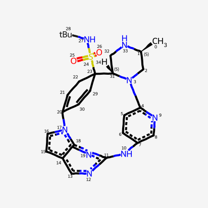 C[C@H]1CN2c3ccc(cn3)Nc3ncc4ccn(c4n3)C3=CCC(S(=O)(=O)NC(C)(C)C)(C=C3)[C@@H]2CN1